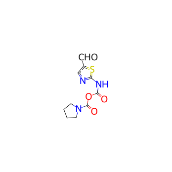 O=Cc1cnc(NC(=O)OC(=O)N2CCCC2)s1